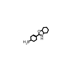 BC1CC=C(C2NC3CCCCC3O2)CC1